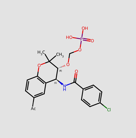 CC(=O)c1ccc2c(c1)[C@H](NC(=O)c1ccc(Cl)cc1)[C@@H](OCOP(=O)(O)O)C(C)(C)O2